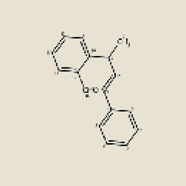 CC(/C=C/c1ccccc1)c1ccccc1C=O